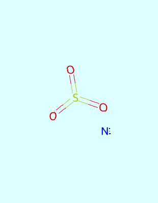 O=S(=O)=O.[N]